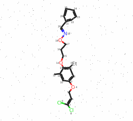 CCc1cc(OCC=C(Cl)Cl)cc(C)c1OCCCON=Cc1ccccc1